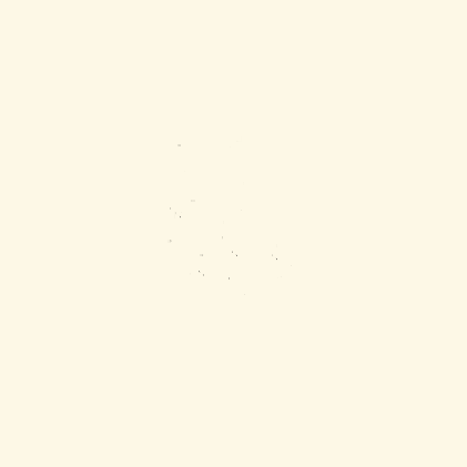 CCOc1ccc2c(NCc3ccccc3N)c(C#N)cnc2c1OCC